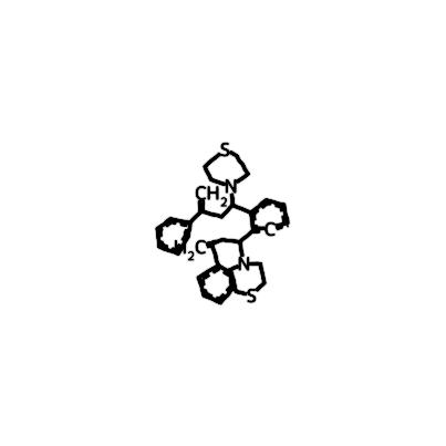 C=C(CC(c1ccccc1C(CC(=C)c1ccccc1)N1CCSCC1)N1CCSCC1)c1ccccc1